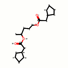 CC(CCCOC(=O)CC1CCCC1)OC(=O)CC1CCCC1